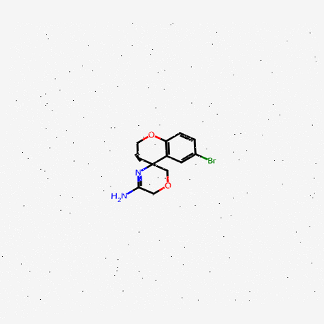 NC1=NC2(COC1)c1cc(Br)ccc1OCC21CC1